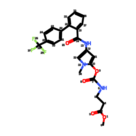 COC(=O)CCNC(=O)Oc1cc(NC(=O)c2ccccc2-c2ccc(C(F)(F)F)cc2)cn1C